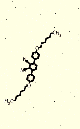 CCCCCCCOc1ccc(-c2ccc(-c3ccc(OCCCCCCC)cc3)c(C#N)c2C#N)cc1